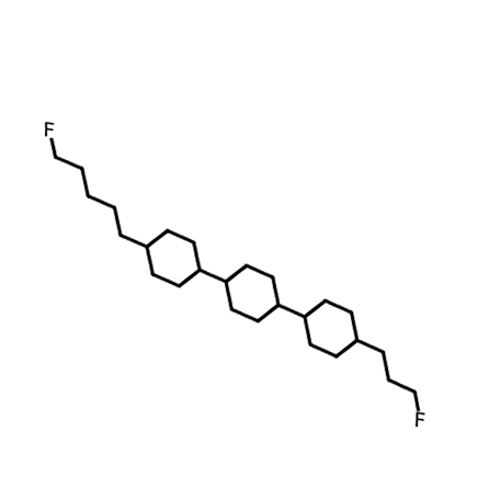 FCCCCCC1CCC(C2CCC(C3CCC(CCCF)CC3)CC2)CC1